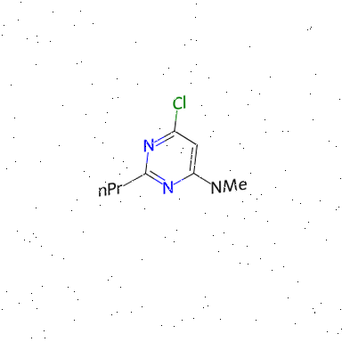 CCCc1nc(Cl)cc(NC)n1